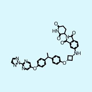 CC(c1ccc(Oc2cnc(-n3nccn3)nc2)cc1)c1ccc(O[C@H]2C[C@H](Nc3ccc4c(c3)C(=O)N(C3CCC(=O)NC3=O)C4=O)C2)cc1